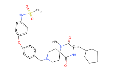 CCCN1C(=O)[C@H](CC2CCCCC2)NC(=O)C12CCN(Cc1ccc(Oc3ccc(NS(C)(=O)=O)cc3)cc1)CC2